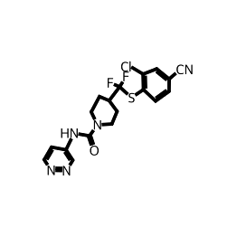 N#Cc1ccc(SC(F)(F)C2CCN(C(=O)Nc3ccnnc3)CC2)c(Cl)c1